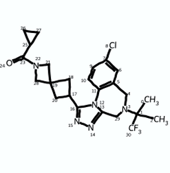 CC(C)(N1Cc2cc(Cl)ccc2-n2c(nnc2C2CC3(C2)CN(C(=O)C2CC2)C3)C1)C(F)(F)F